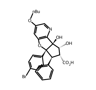 CCCCOc1cnc2c(c1)O[C@@]1(c3ccc(Br)cc3)[C@H](c3ccccc3)[C@@H](C(=O)O)[C@@H](O)[C@@]21O